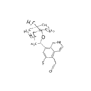 CC(O[Si](C)(C)C(C)(C)C)c1cc(F)c(C=O)c2ccncc12